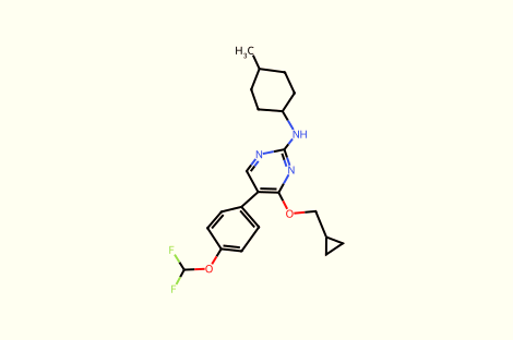 CC1CCC(Nc2ncc(-c3ccc(OC(F)F)cc3)c(OCC3CC3)n2)CC1